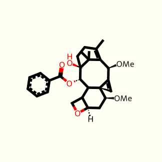 CO[C@H]1C2=C[C@@]23C(C2CO[C@@H]2C[C@@H]3OC)[C@H](OC(=O)c2ccccc2)[C@]2(O)CCC(C)=C1C2(C)C